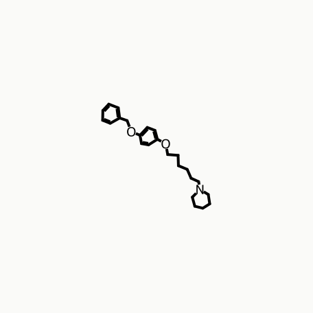 c1ccc(COc2ccc(OCCCCCCN3CCCCC3)cc2)cc1